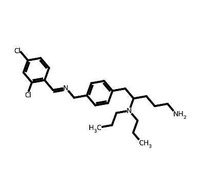 CCCN(CCC)C(CCCN)Cc1ccc(CN=Cc2ccc(Cl)cc2Cl)cc1